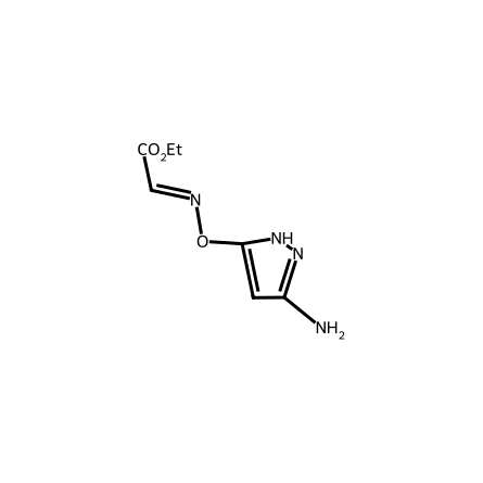 CCOC(=O)C=NOc1cc(N)n[nH]1